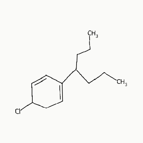 CCCC(CCC)C1=CCC(Cl)C=C1